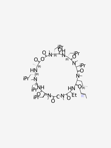 C/C=C/C[C@@H](C)CC1C(=O)NC(CC)C(=O)N(C)CC(=O)N(C)[C@@H](CC(C)C)C(=O)N[C@H](CC(C)C)N(C)[C@H](CC(C)C)N[C@H](C)C(=O)OC(=O)N(C)[C@H](CC(C)C)C(=O)N[C@H](CC(C)C)C(=O)N(C)C(C(C)C)C(=O)N1C